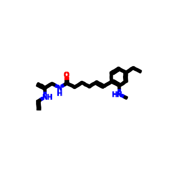 C=CNC(=C)CNC(=O)CCC/C=C/c1ccc(CC)cc1NC